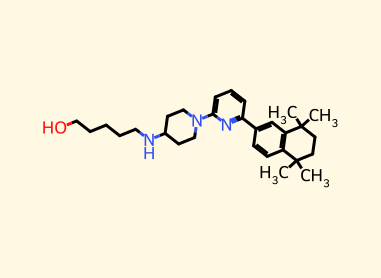 CC1(C)CCC(C)(C)c2cc(-c3cccc(N4CCC(NCCCCCO)CC4)n3)ccc21